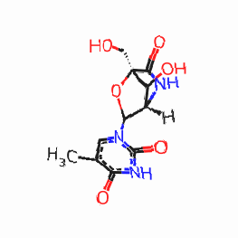 Cc1cn(C2O[C@@]3(CO)C(=O)N[C@H]2C3O)c(=O)[nH]c1=O